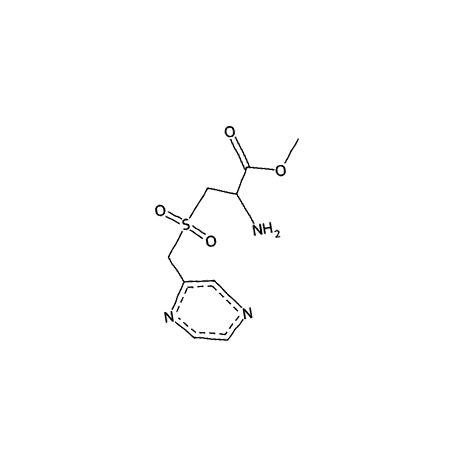 COC(=O)C(N)CS(=O)(=O)Cc1cnccn1